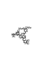 COc1ccc(CNC(=O)C2CN(c3cc(Cl)nc(-n4ccnc4)n3)CCN2C(=O)Cc2ccc(Cl)c(Cl)c2)cc1OC